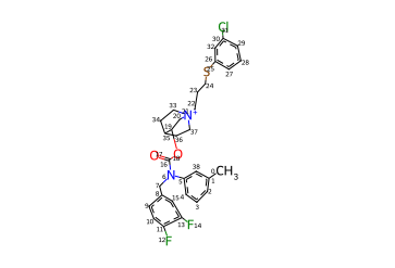 Cc1cccc(N(Cc2ccc(F)c(F)c2)C(=O)OC2C[N+]3(CCCSc4cccc(Cl)c4)CCC2CC3)c1